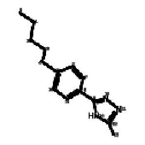 CCCCCc1ccc(-c2nnc(C)[nH]2)cc1